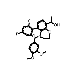 COc1ccc(CN2CCOc3c(C(C)O)ccc(-c4c(Cl)cc(F)cc4Cl)c32)cc1OC